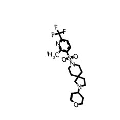 Cc1nc(C(F)(F)F)ccc1S(=O)(=O)N1CCC2(CCN(C3CCOCC3)C2)CC1